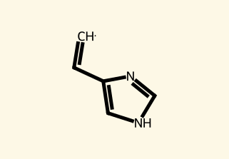 [CH]=Cc1c[nH]cn1